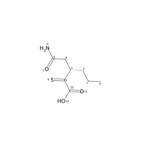 CCC[C@@H](CC(N)=O)C(=S)C(=O)O